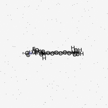 CCOC(=O)/C(C)=C/c1cc(F)c(Oc2ccc(S(=O)(=O)NCCOCCOCCOCCOCCOCCOCCNC(=O)[C@H](O)[C@H](C)O)cc2)c(F)c1